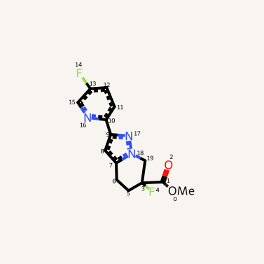 COC(=O)C1(F)CCc2cc(-c3ccc(F)cn3)nn2C1